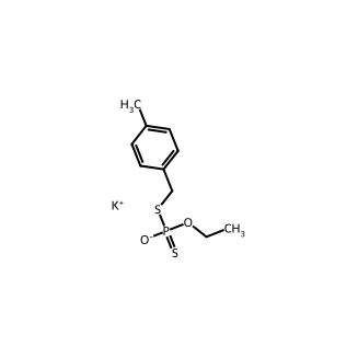 CCOP([O-])(=S)SCc1ccc(C)cc1.[K+]